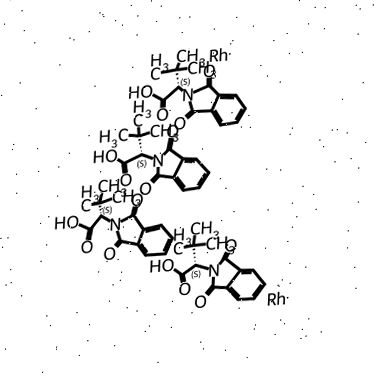 CC(C)(C)[C@@H](C(=O)O)N1C(=O)c2ccccc2C1=O.CC(C)(C)[C@@H](C(=O)O)N1C(=O)c2ccccc2C1=O.CC(C)(C)[C@@H](C(=O)O)N1C(=O)c2ccccc2C1=O.CC(C)(C)[C@@H](C(=O)O)N1C(=O)c2ccccc2C1=O.[Rh].[Rh]